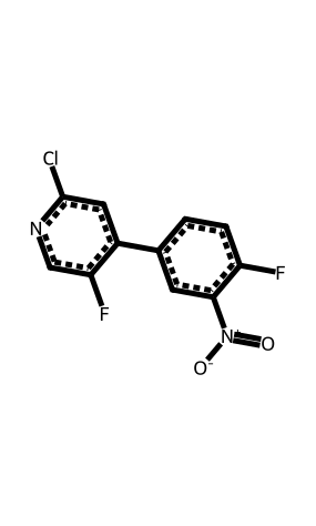 O=[N+]([O-])c1cc(-c2cc(Cl)ncc2F)ccc1F